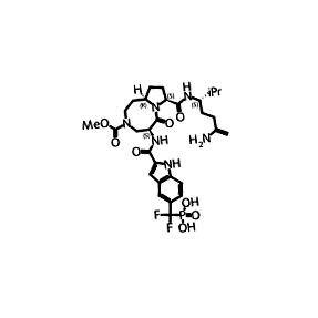 C=C(N)CC[C@H](NC(=O)[C@@H]1CC[C@@H]2CCN(C(=O)OC)C[C@H](NC(=O)c3cc4cc(C(F)(F)P(=O)(O)O)ccc4[nH]3)C(=O)N21)C(C)C